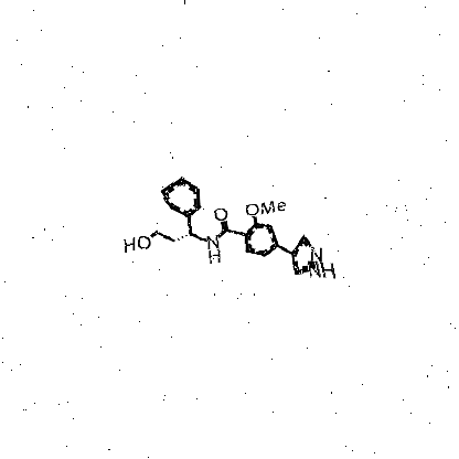 COc1cc(-c2cn[nH]c2)ccc1C(=O)N[C@H](CCO)c1ccccc1